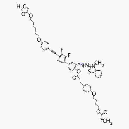 C=CC(=O)OCCCCCCOc1ccc(C#Cc2ccc(-c3ccc(OC(=O)CCc4ccc(OCCCCOC(=O)C=C)cc4)c(/C=N/N=c4\sc5ccccc5n4C)c3)c(F)c2F)cc1